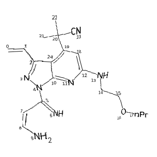 C=Cc1nn(C(=N)/C=C\N)c2nc(NCCOCCC)cc(C(C)(C)C#N)c12